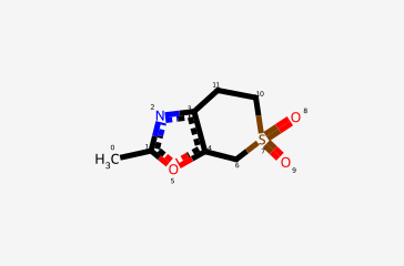 Cc1nc2c(o1)CS(=O)(=O)CC2